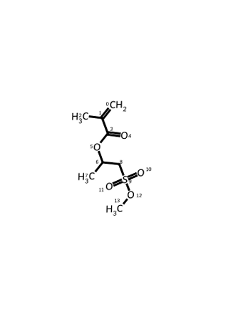 C=C(C)C(=O)OC(C)CS(=O)(=O)OC